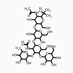 CC(=O)NC1C(OC2C(O)C(CO)OC(OC3C(CO)OC(C(C)(C)C)C(NC(C)=O)C3O)C2O)OC(CO)C(OC2OC(CO)C(O)C(O)C2O)C1OC1OC(C)C(O)C(O)C1O